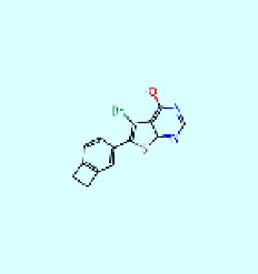 [O]c1ncnc2sc(-c3ccc4c(c3)CC4)c(Br)c12